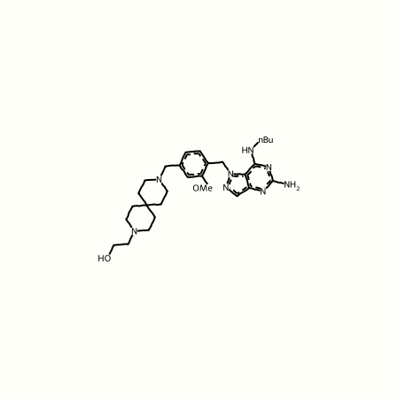 CCCCNc1nc(N)nc2cnn(Cc3ccc(CN4CCC5(CCN(CCO)CC5)CC4)cc3OC)c12